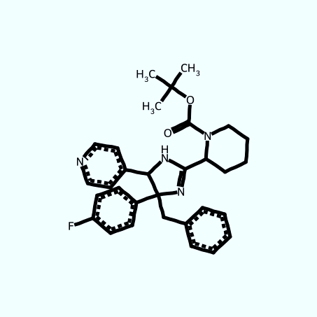 CC(C)(C)OC(=O)N1CCCCC1C1=NC(Cc2ccccc2)(c2ccc(F)cc2)C(c2ccncc2)N1